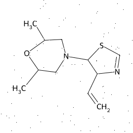 C=CC1N=CSC1N1CC(C)OC(C)C1